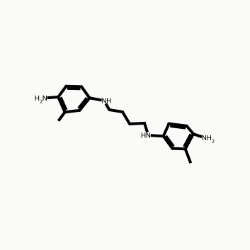 Cc1cc(NCCCCNc2ccc(N)c(C)c2)ccc1N